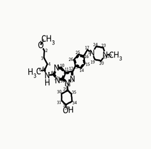 COCCC[C@H](C)Nc1ncc2c(-c3ccc(CN4CCN(C)CC4)cc3)nn(C3CCC(O)CC3)c2n1